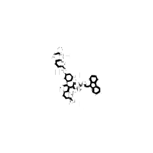 COc1ccc2nccc(C(O)C(NC(=O)OCC3c4ccccc4-c4ccccc43)[C@H]3CC[C@H](NCc4ccc5c(n4)NC(=O)CS5)CC3)c2n1